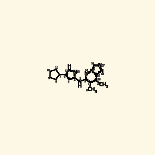 Cc1c(Nc2cc(C3CCCC3)[nH]n2)nn2cnnc2c1C